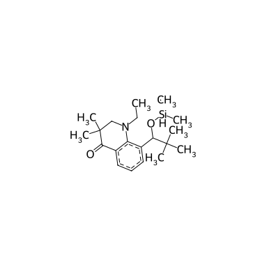 CCN1CC(C)(C)C(=O)c2cccc(C(O[SiH](C)C)C(C)(C)C)c21